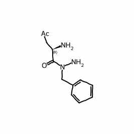 CC(=O)C[C@@H](N)C(=O)N(N)Cc1ccccc1